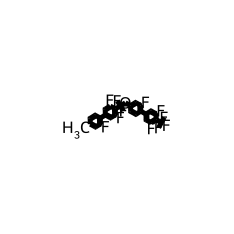 Cc1ccc(-c2cc(F)c(C(F)(F)Oc3ccc(-c4cc(F)c(C(F)(F)F)c(F)c4)c(F)c3)c(F)c2)c(F)c1